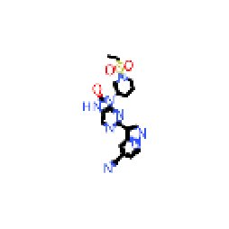 CCS(=O)(=O)N1CCC[C@H](n2c(=O)[nH]c3cnc(-c4cnn5ccc(C#N)cc45)nc32)C1